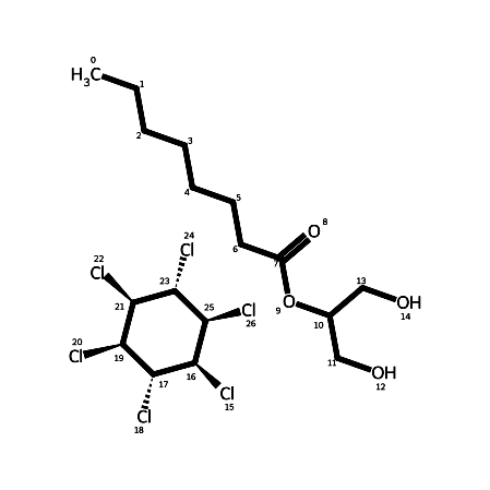 CCCCCCCC(=O)OC(CO)CO.Cl[C@H]1[C@H](Cl)[C@@H](Cl)[C@@H](Cl)[C@H](Cl)[C@H]1Cl